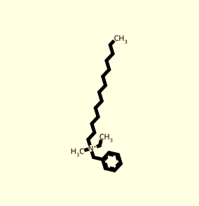 CCCCCCCCCCCCCC[N+](C)(CC)Cc1ccccc1